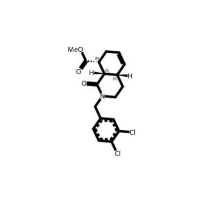 COC(=O)[C@@H]1CC=C[C@@H]2CCN(Cc3ccc(Cl)c(Cl)c3)C(=O)[C@@H]21